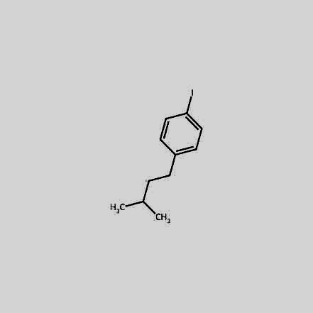 CC(C)[CH]Cc1ccc(I)cc1